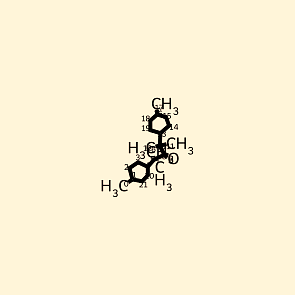 CC1CCC(C(C)(C)C(=O)C(C)(C)C2CCC(C)CC2)CC1